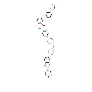 Cc1c(N2CC[C@@H](F)C2)ccc(F)c1Oc1ccc2ncn(-c3ccc(N4CCN(CC5CCN(c6ccc7c(c6)CN(C6CCC(=O)NC6=O)C7=O)CC5)CC4)cc3)c(=O)c2c1